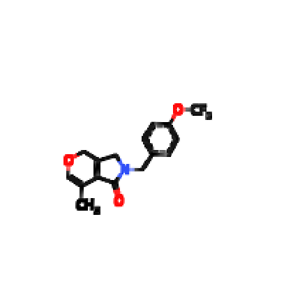 CC1=COCC2=C1C(=O)N(Cc1ccc(OC(F)(F)F)cc1)C2